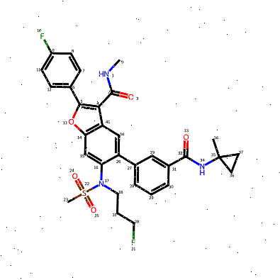 CNC(=O)c1c(-c2ccc(F)cc2)oc2cc(N(CCCF)S(C)(=O)=O)c(-c3cccc(C(=O)NC4(C)CC4)c3)cc12